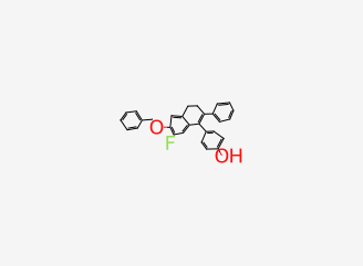 Oc1ccc(C2=C(c3ccccc3)CCc3cc(OCc4ccccc4)c(F)cc32)cc1